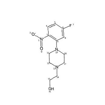 O=[N+]([O-])c1ccc(F)cc1N1CCN(CCO)CC1